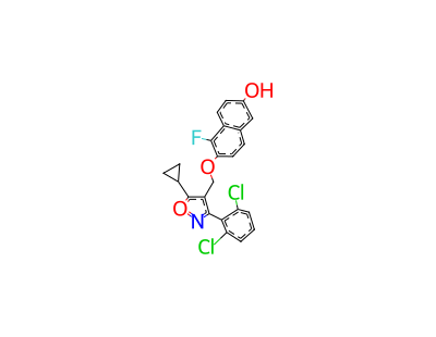 Oc1ccc2c(F)c(OCc3c(-c4c(Cl)cccc4Cl)noc3C3CC3)ccc2c1